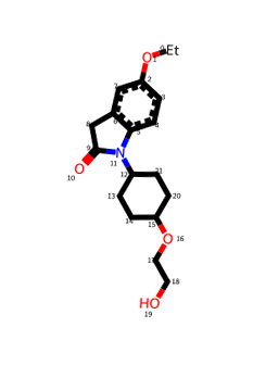 CCOc1ccc2c(c1)CC(=O)N2C1CCC(OCCO)CC1